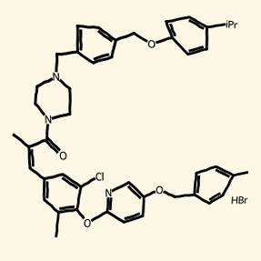 Br.CC(=Cc1cc(C)c(Oc2ccc(OCc3ccc(C)cc3)cn2)c(Cl)c1)C(=O)N1CCN(Cc2ccc(COc3ccc(C(C)C)cc3)cc2)CC1